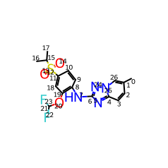 Cc1ccc2nc(Nc3ccc(S(=O)(=O)C(C)C)cc3OC(F)F)nn2c1